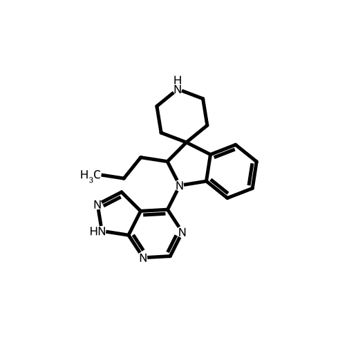 CCCC1N(c2ncnc3[nH]ncc23)c2ccccc2C12CCNCC2